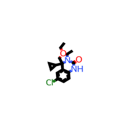 CCOCC1(C2CC2)c2cc(Cl)ccc2NC(=O)N1CC